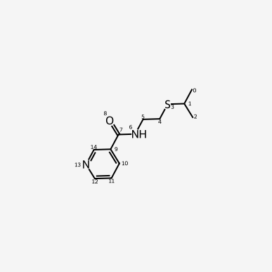 CC(C)SCCNC(=O)c1cccnc1